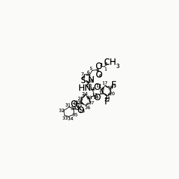 CCOC(=O)Cc1csc(NC(=O)C(Oc2ccc(F)cc2F)c2ccc(S(=O)(=O)C3CCCCC3)cc2)n1